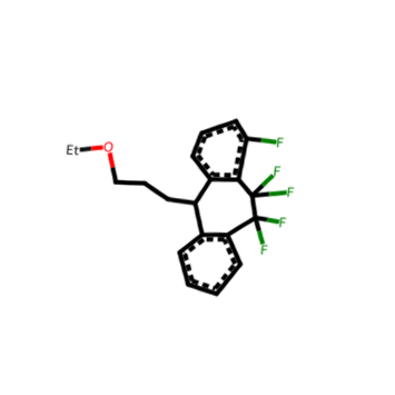 CCOCCCC1c2ccccc2C(F)(F)C(F)(F)c2c(F)cccc21